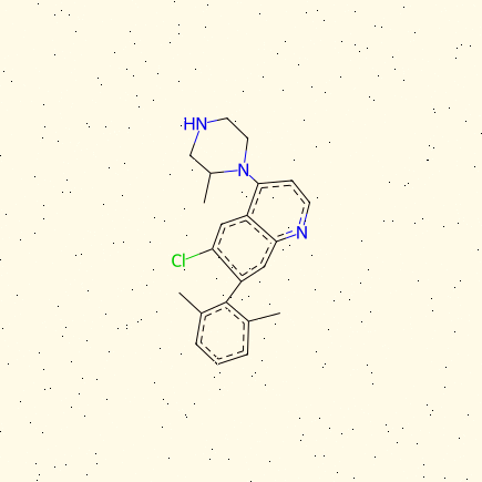 Cc1cccc(C)c1-c1cc2nccc(N3CCNCC3C)c2cc1Cl